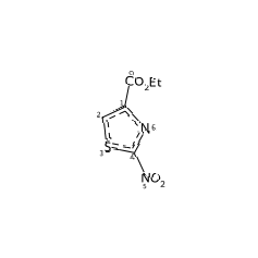 CCOC(=O)c1csc([N+](=O)[O-])n1